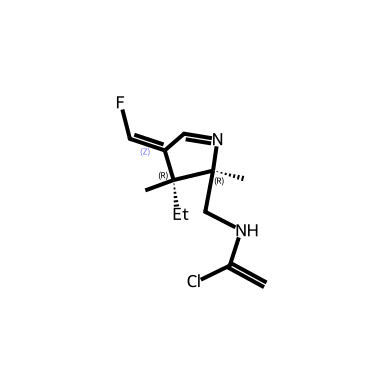 C=C(Cl)NC[C@]1(C)N=C/C(=C\F)[C@@]1(C)CC